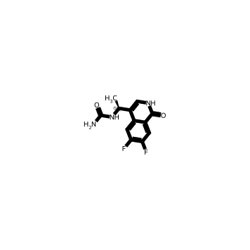 C[C@H](NC(N)=O)c1c[nH]c(=O)c2cc(F)c(F)cc12